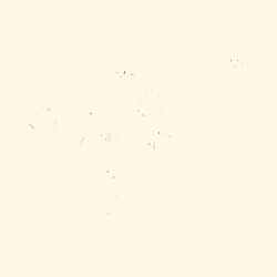 COCCCOc1cc(C(=O)N(C[C@@H]2CN(C(=O)OC(C)(C)C)C[C@H]2NC(=O)C(O)c2ccccc2)C(C)C)ccc1OC